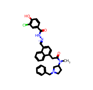 CN(C(=O)Cc1ccc(/C=N/NC(=O)c2ccc(O)c(Cl)c2)c2ccccc12)C1CCN(Cc2ccccc2)C1